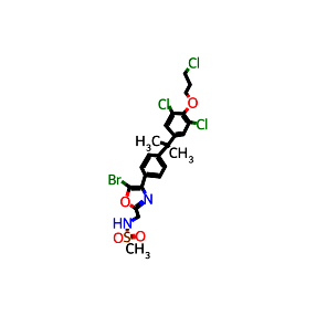 CC(C)(c1ccc(-c2nc(CNS(C)(=O)=O)oc2Br)cc1)c1cc(Cl)c(OCCCCl)c(Cl)c1